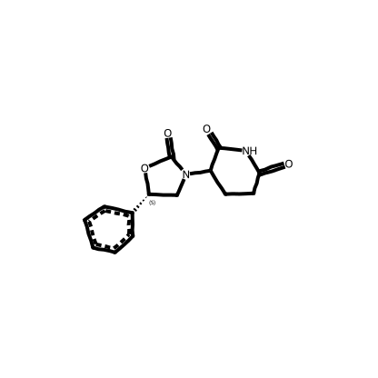 O=C1CCC(N2C[C@H](c3ccccc3)OC2=O)C(=O)N1